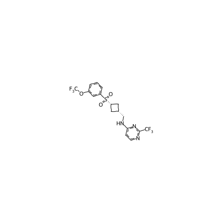 O=S(=O)(c1cccc(OC(F)(F)F)c1)[C@H]1C[C@@H](CNc2ccnc(C(F)(F)F)n2)C1